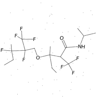 CCC(C)(OCC(F)(C(F)(F)F)C(C)(F)CC)C(C(=O)NC(C)C)C(F)(F)F